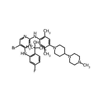 Cc1cc(N2CCC(N3CCN(C)CC3)CC2)c(C)cc1Nc1ncc(Br)c(Nc2cc(F)ccc2C(C)(C)O)n1